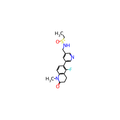 CC[S+]([O-])NCc1cncc(-c2ccc3c(c2F)CCC(=O)N3C)c1